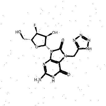 Nc1nc2c(c(=O)[nH]1)n(Cc1nnn[nH]1)c(=O)n2[C@@H]1O[C@H](CO)[C@@H](F)[C@H]1O